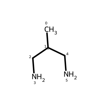 C[C](CN)CN